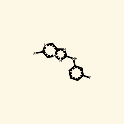 Fc1cccc(Nc2nc3cnc(Br)cn3n2)c1